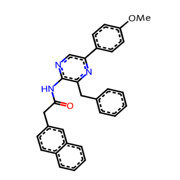 COc1ccc(-c2cnc(NC(=O)Cc3ccc4ccccc4c3)c(Cc3ccccc3)n2)cc1